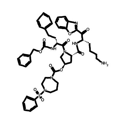 NCCCC[C@H](NC(=O)[C@@H]1C[C@@H](OC(=O)N2CCCN(S(=O)(=O)c3ccccc3)CC2)CN1C(=O)[C@@H](CCc1ccccc1)NC(=O)OCc1ccccc1)C(=O)c1nc2ccccc2o1